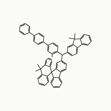 Cc1cc(-c2ccc(-c3ccccc3)cc2)ccc1N(c1ccc2c(c1)C(C)(C)c1ccccc1-2)c1ccc2c(c1)C1(c3ccccc3-2)c2ccccc2C(C)(C)c2ccccc21